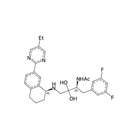 CCc1cnc(-c2ccc3c(c2)[C@@H](NCC(O)(O)[C@H](Cc2cc(F)cc(F)c2)NC(C)=O)CCC3)nc1